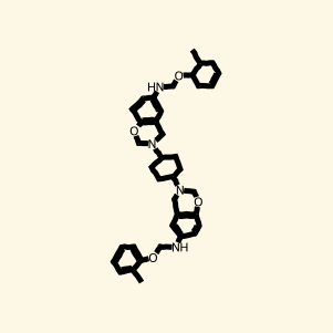 Cc1ccccc1OCNc1ccc2c(c1)CN(C1CCC(N3COc4ccc(NCOC5CC=CCC5C)cc4C3)CC1)CO2